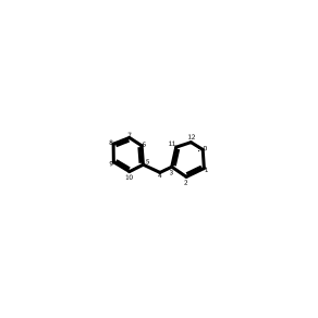 [C]1C=CC(Cc2ccccc2)=CC1